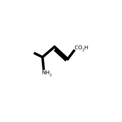 CC(N)/C=C/C(=O)O